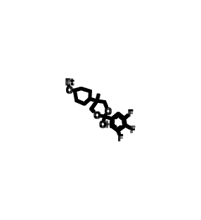 CCOC1CCC(C2(C)COC(O)(c3cc(F)c(F)c(F)c3)OC2)CC1